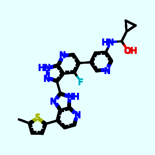 Cc1ccc(-c2ccnc3[nH]c(-c4n[nH]c5ncc(-c6cncc(NC(O)C7CC7)c6)c(F)c45)nc23)s1